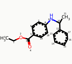 CCOC(=O)c1ccc(NC(C)c2ccccc2)cc1